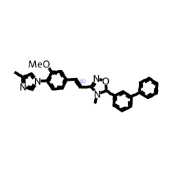 COc1cc(/C=C/C2=NOC(c3cccc(-c4ccccc4)c3)N2C)ccc1-n1cnc(C)c1